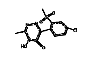 Cc1nnc(-c2ccc(Cl)cc2S(C)(=O)=O)c(=O)n1O